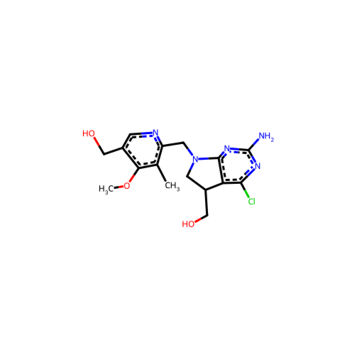 COc1c(CO)cnc(CN2CC(CO)c3c(Cl)nc(N)nc32)c1C